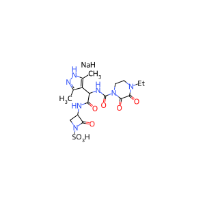 CCN1CCN(C(=O)NC(C(=O)NC2CN(S(=O)(=O)O)C2=O)c2c(C)n[nH]c2C)C(=O)C1=O.[NaH]